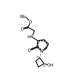 CC(C)(C)OC(=O)CNc1cccn([C@H]2CC[C@@H]2O)c1=O